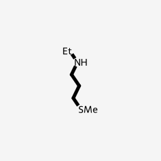 [CH2]CNCCCSC